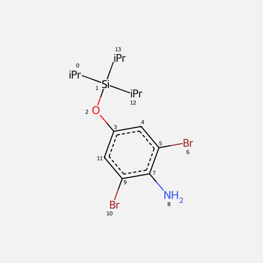 CC(C)[Si](Oc1cc(Br)c(N)c(Br)c1)(C(C)C)C(C)C